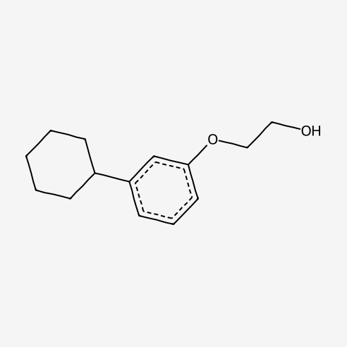 OCCOc1cccc(C2CCCCC2)c1